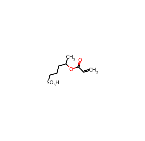 C=CC(=O)OC(C)CCCS(=O)(=O)O